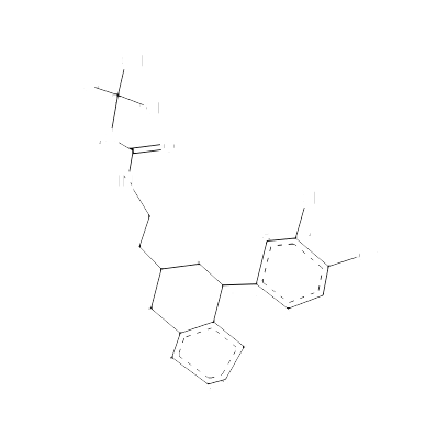 CC(C)(C)OC(=O)NCCC1Cc2ccccc2C(c2ccc(Cl)c(Cl)c2)C1